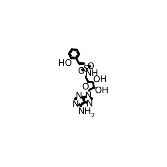 Nc1ncnc2c1ncn2C1OC(CNS(=O)(=O)/C=C/c2ccccc2O)C(O)C1O